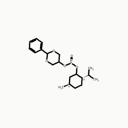 CC(C)[C@@H]1CC[C@@H](C)CC1O[PH](=O)OC1COC(c2ccccc2)OC1